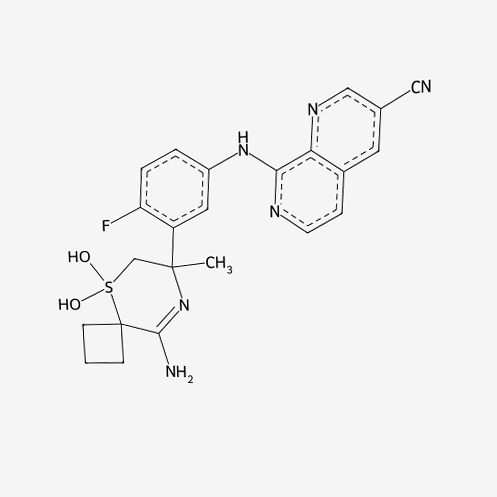 CC1(c2cc(Nc3nccc4cc(C#N)cnc34)ccc2F)CS(O)(O)C2(CCC2)C(N)=N1